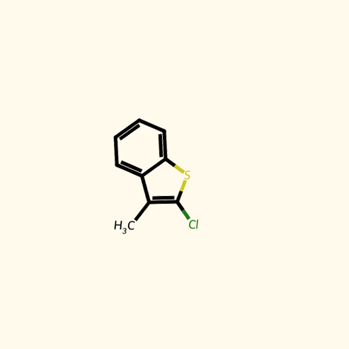 Cc1c(Cl)sc2ccccc12